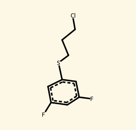 Fc1cc(F)cc(SCCCCl)c1